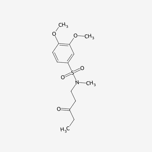 CCC(=O)CCN(C)S(=O)(=O)c1ccc(OC)c(OC)c1